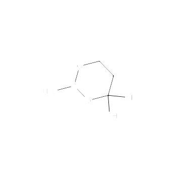 CB1OCCC(C)(C)O1